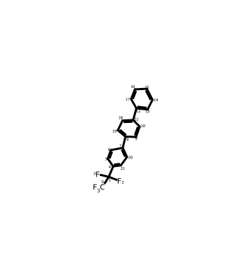 FC(F)(F)C(F)(F)c1ccc(-c2ccc(-c3ccccc3)cc2)cc1